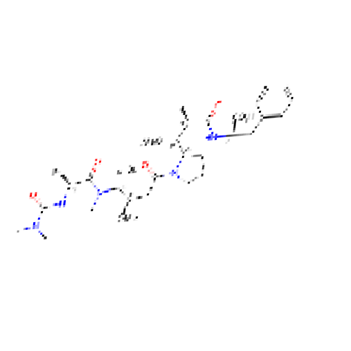 CC[C@H](C)[C@@H]([C@@H](CC(=O)N1CCC[C@H]1[C@H](OC)[C@@H](C)C(=O)N[C@@](C)(Cc1ccccc1)C(=O)O)OC)N(C)C(=O)[C@@H](NC(=O)N(C)C)C(C)C